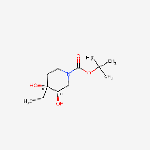 CC[C@]1(O)CCN(C(=O)OC(C)(C)C)C[C@H]1O